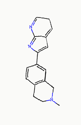 CN1CCc2ccc(C3=CC4=CCC=NC4=N3)cc2C1